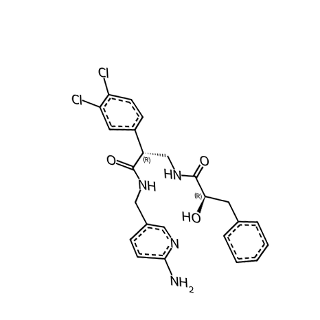 Nc1ccc(CNC(=O)[C@@H](CNC(=O)[C@H](O)Cc2ccccc2)c2ccc(Cl)c(Cl)c2)cn1